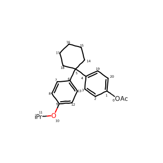 CC(=O)Oc1ccc(C2(c3ccc(OC(C)C)cc3)CCCCC2)cc1